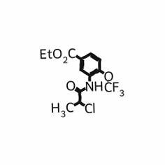 CCOC(=O)c1ccc(OC(F)(F)F)c(NC(=O)C(C)Cl)c1